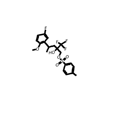 COc1ccc(F)cc1C(C)CC(O)(COS(=O)(=O)c1ccc(C)cc1)C(F)(F)F